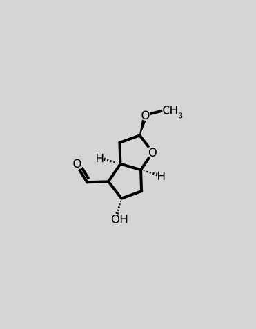 CO[C@@H]1C[C@@H]2C(C=O)[C@@H](O)C[C@@H]2O1